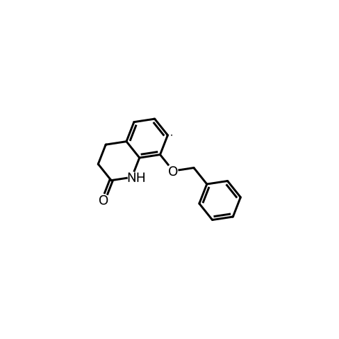 O=C1CCc2cc[c]c(OCc3ccccc3)c2N1